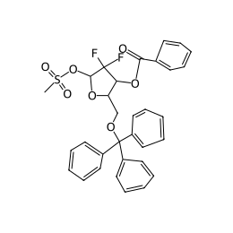 CS(=O)(=O)OC1OC(COC(c2ccccc2)(c2ccccc2)c2ccccc2)C(OC(=O)c2ccccc2)C1(F)F